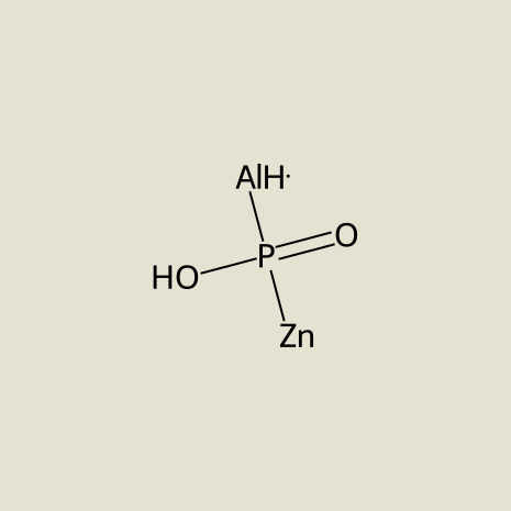 O=[P](O)([AlH])[Zn]